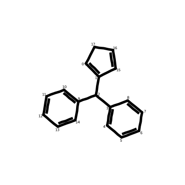 [C]1=C(C(c2ccccc2)c2ccccc2)C=CC1